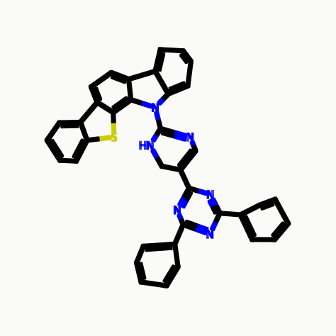 C1=C(c2nc(-c3ccccc3)nc(-c3ccccc3)n2)CNC(n2c3ccccc3c3ccc4c5ccccc5sc4c32)=N1